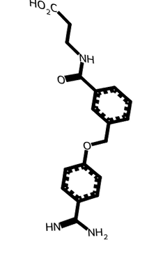 N=C(N)c1ccc(OCc2cccc(C(=O)NCCC(=O)O)c2)cc1